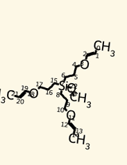 CC=COCCC[Si](CCCOC=CC)(CCCOC=CC)OC